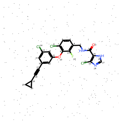 O=C(NCc1ccc(Cl)c(Oc2cc(Cl)cc(C#CC3CC3)c2)c1F)c1[nH]cnc1Cl